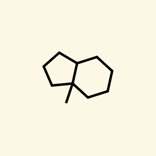 CC12CCCCC1CCC2